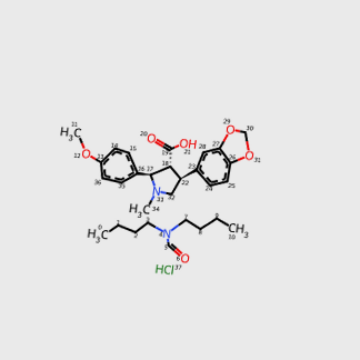 CCCCN(C=O)CCCC.COc1ccc([C@H]2[C@H](C(=O)O)[C@@H](c3ccc4c(c3)OCO4)CN2C)cc1.Cl